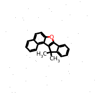 CC1(C)c2ccccc2-c2oc3ccc4ccccc4c3c21